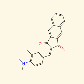 Cc1cc(C=C2C(=O)c3cc4ccccc4cc3C2=O)ccc1N(C)C